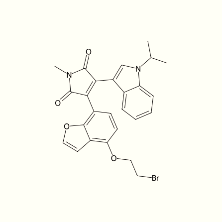 CC(C)n1cc(C2=C(c3ccc(OCCBr)c4ccoc34)C(=O)N(C)C2=O)c2ccccc21